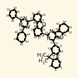 CC1(C)c2ccccc2-c2ccc(-c3nc(-c4cccc5c4oc4cccc(-c6nc(-c7ccccc7)nc(-c7ccccc7)n6)c45)nc4c3oc3ccccc34)cc21